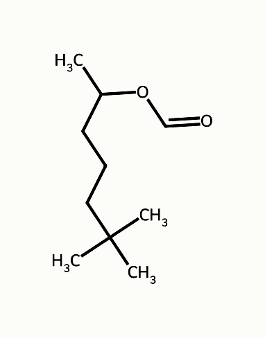 CC(CCCC(C)(C)C)OC=O